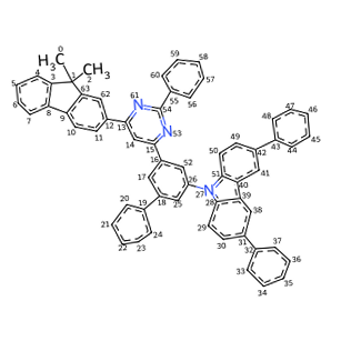 CC1(C)c2ccccc2-c2ccc(-c3cc(-c4cc(-c5ccccc5)cc(-n5c6ccc(-c7ccccc7)cc6c6cc(-c7ccccc7)ccc65)c4)nc(-c4ccccc4)n3)cc21